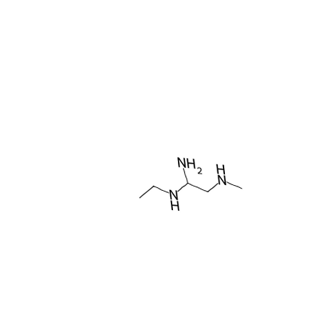 CCNC(N)CNC